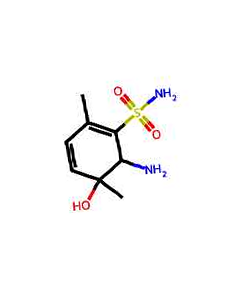 CC1=C(S(N)(=O)=O)C(N)C(C)(O)C=C1